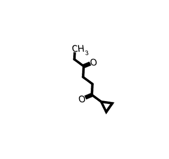 CCC(=O)CCC(=O)C1CC1